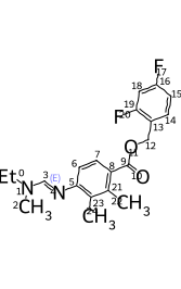 CCN(C)/C=N/c1ccc(C(=O)OCc2ccc(F)cc2F)c(C)c1C